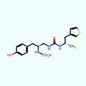 C[C@@H](Cc1ccsc1)NC(=O)NC[C@H](Cc1ccc(O)cc1)NC(=O)O